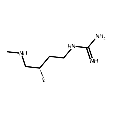 CNC[C@@H](C)CCNC(=N)N